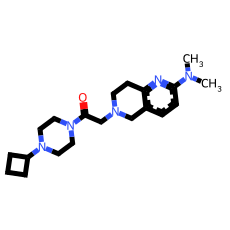 CN(C)c1ccc2c(n1)CCN(CC(=O)N1CCN(C3CCC3)CC1)C2